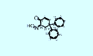 O=C1C=CC(c2ccccc2)(c2ccccc2)CC1=NO